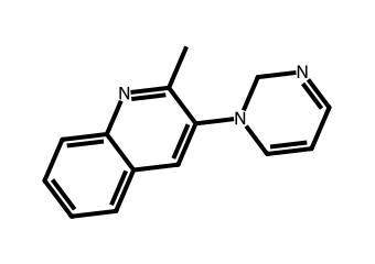 Cc1nc2ccccc2cc1N1C=CC=NC1